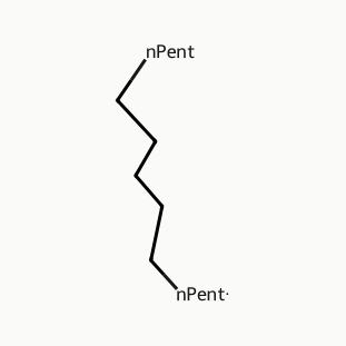 CCCC[CH]CCCCCCCCCC